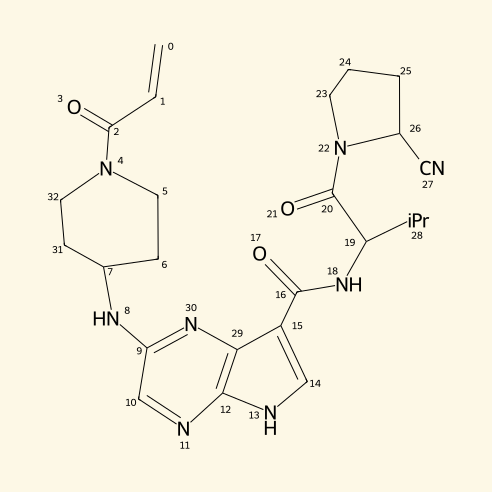 C=CC(=O)N1CCC(Nc2cnc3[nH]cc(C(=O)NC(C(=O)N4CCCC4C#N)C(C)C)c3n2)CC1